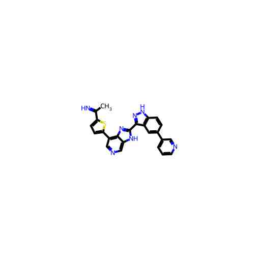 CC(=N)c1ccc(-c2cncc3[nH]c(-c4n[nH]c5ccc(-c6cccnc6)cc45)nc23)s1